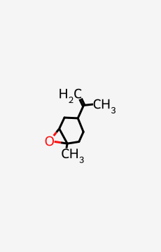 C=C(C)C1CCC2(C)OC2C1